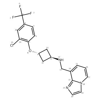 FC(F)(F)c1ccc(O[C@H]2C[C@H](NCc3cccn4ccnc34)C2)c(Cl)c1